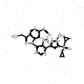 CCC(=O)c1cnc(N=O)cc1Nc1ncnc(-c2cc(P(=O)(C3CC3)C3CC3)n(C)n2)c1OC